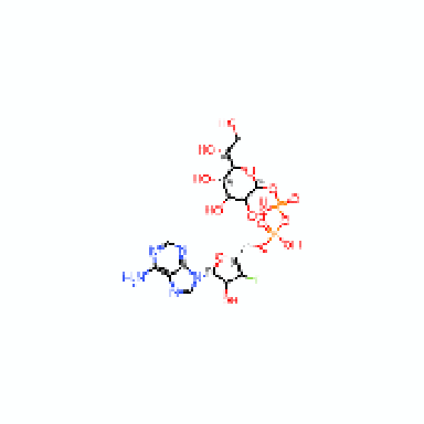 Nc1ncnc2c1ncn2[C@@H]1O[C@H](COP(=O)(O)OP(=O)(O)O[C@@H]2OC([C@H](O)CO)[C@@H](O)C(O)C2O)C(F)C1O